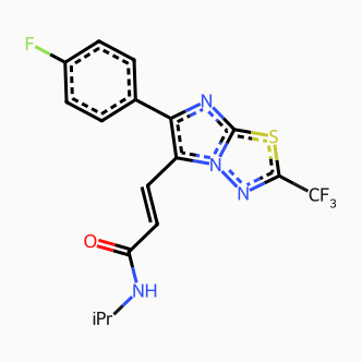 CC(C)NC(=O)/C=C/c1c(-c2ccc(F)cc2)nc2sc(C(F)(F)F)nn12